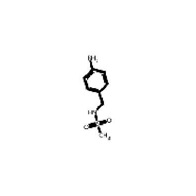 Bc1ccc(CNS(C)(=O)=O)cc1